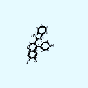 Fc1cc2ncc(-c3nc4ccccc4[nH]3)c(C3CCNCC3)c2cc1F